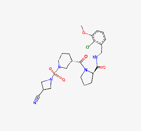 COc1cccc(CNC(=O)[C@H]2CCCN2C(=O)[C@H]2CCCN(S(=O)(=O)N3CC(C#N)C3)C2)c1Cl